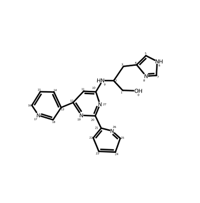 OCC(Cc1c[nH]cn1)Nc1cc(-c2cccnc2)nc(-c2ccccn2)n1